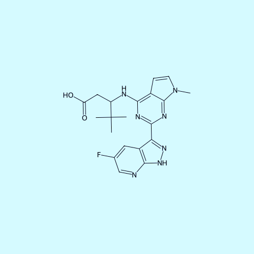 Cn1ccc2c(NC(CC(=O)O)C(C)(C)C)nc(-c3n[nH]c4ncc(F)cc34)nc21